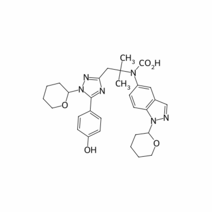 CC(C)(Cc1nc(-c2ccc(O)cc2)n(C2CCCCO2)n1)N(C(=O)O)c1ccc2c(cnn2C2CCCCO2)c1